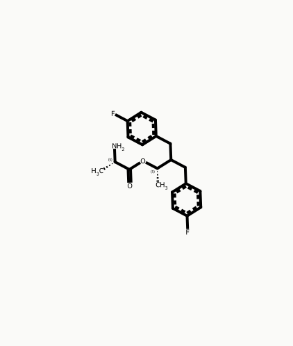 C[C@H](N)C(=O)O[C@@H](C)C(Cc1ccc(F)cc1)Cc1ccc(F)cc1